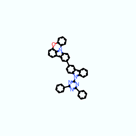 c1ccc(-c2nc(-c3ccccc3)nc(-n3c4ccccc4c4cc(-c5ccc6c(c5)c5cccc7c5n6-c5ccccc5O7)ccc43)n2)cc1